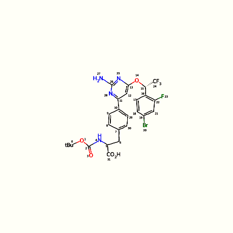 CC(C)(C)OC(=O)NC(Cc1ccc(-c2cc(O[C@@H](c3ccc(Br)cc3F)C(F)(F)F)nc(N)n2)cc1)C(=O)O